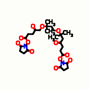 CC(C)(CCOC(C)(C)CC(=O)CCC(=O)ON1C(=O)CCC1=O)OCC(=O)CCC(=O)ON1C(=O)CCC1=O